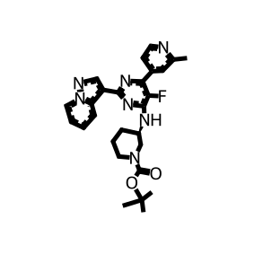 Cc1cc(-c2nc(-c3cnn4ccccc34)nc(N[C@@H]3CCCN(C(=O)OC(C)(C)C)C3)c2F)ccn1